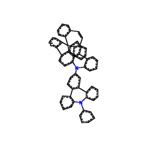 C1=Cc2ccccc2C2(c3ccccc31)c1ccccc1-c1ccc(N(c3ccc4c(c3)-c3ccccc3N(c3ccccc3)c3ccccc3-4)c3ccccc3-c3ccccc3)cc12